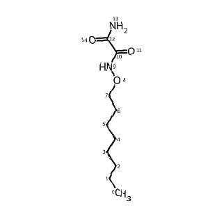 CCCCCCCCONC(=O)C(N)=O